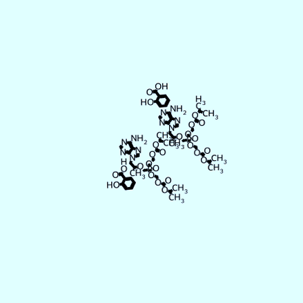 CC(C)OC(=O)OCOP(=O)(CO[C@H](C)Cn1cnc2c(N)ncnc21)OCOC(=O)OC(C)C.CC(C)OC(=O)OCOP(=O)(CO[C@H](C)Cn1cnc2c(N)ncnc21)OCOC(=O)OC(C)C.O=C(O)c1ccccc1O.O=C(O)c1ccccc1O